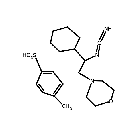 Cc1ccc(S(=O)(=O)O)cc1.N=C=NC(CN1CCOCC1)C1CCCCC1